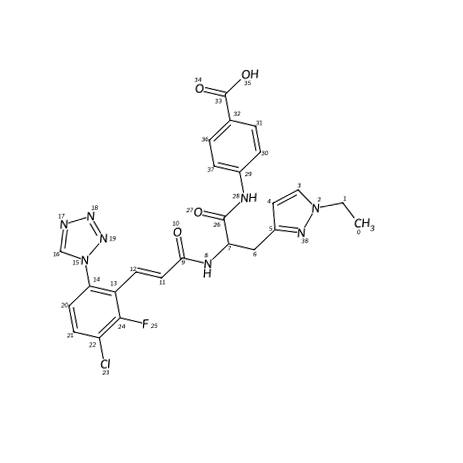 CCn1ccc(CC(NC(=O)C=Cc2c(-n3cnnn3)ccc(Cl)c2F)C(=O)Nc2ccc(C(=O)O)cc2)n1